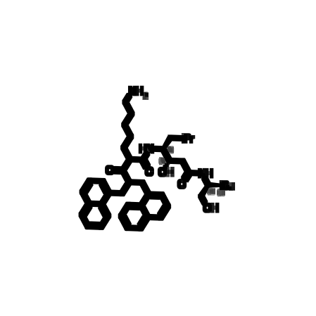 CC[C@H](C)[C@@H](CO)NC(=O)C[C@H](O)[C@H](CC(C)C)NC(=O)C(CCCCCN)C(=O)C(Cc1cccc2ccccc12)Cc1cccc2ccccc12